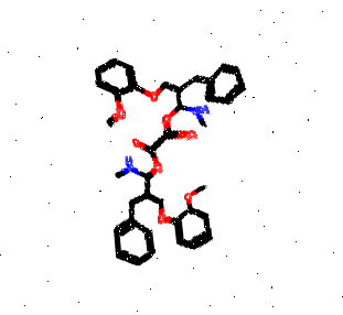 CNC(OC(=O)C(=O)OC(NC)C(COc1ccccc1OC)Cc1ccccc1)C(COc1ccccc1OC)Cc1ccccc1